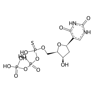 O=c1[nH]cc([C@H]2C[C@@H](O)[C@@H](COP(O)(=S)OP(=O)(O)OP(=O)(O)O)O2)c(=O)[nH]1